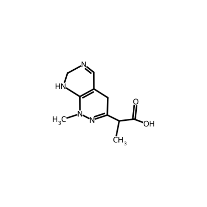 CC(C(=O)O)C1=NN(C)C2=C(C=NCN2)C1